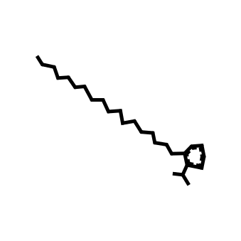 CCCCCCCCCCCCCCCCCCc1ccccc1C(C)C